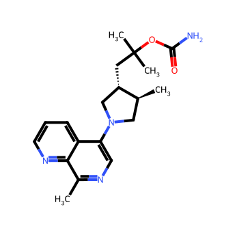 Cc1ncc(N2C[C@H](CC(C)(C)OC(N)=O)[C@@H](C)C2)c2cccnc12